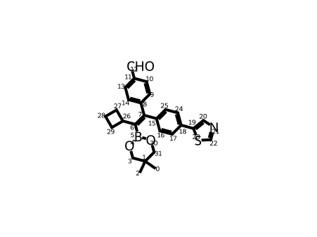 CC1(C)COB(C(=C(c2ccc(C=O)cc2)c2ccc(-c3cncs3)cc2)C2CCC2)OC1